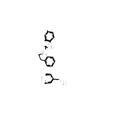 NCc1ccnc(Oc2cccc3c2CCN3c2nc3ccc(F)cc3s2)c1